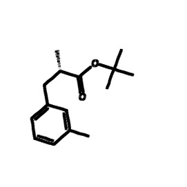 Cc1cccc(C[C@H](C)C(=O)OC(C)(C)C)c1